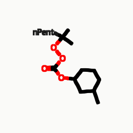 CCCCCC(C)(C)OOC(=O)OC1CCCC(C)C1